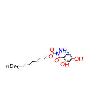 CCCCCCCCCCCCCCCCCCOC(=O)N(N)C(=O)c1ccc(O)cc1O